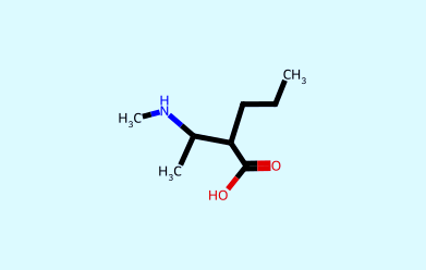 CCCC(C(=O)O)C(C)NC